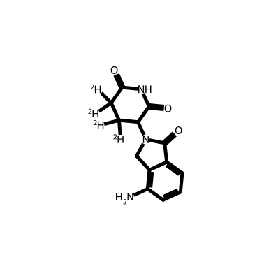 [2H]C1([2H])C(=O)NC(=O)C(N2Cc3c(N)cccc3C2=O)C1([2H])[2H]